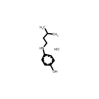 CC(C)CCNc1ccc(O)cc1.Cl